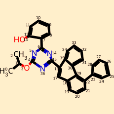 CC(C)Oc1nc(-c2ccccc2O)nc(-c2cc3cccc(-c4ccccc4)c3c3ccccc23)n1